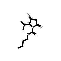 CCCCOC(=O)N1C(=O)CC(=O)C1C(C)C